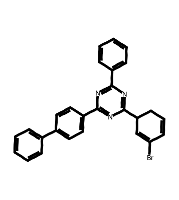 BrC1=CC(c2nc(-c3ccccc3)nc(-c3ccc(-c4ccccc4)cc3)n2)CC=C1